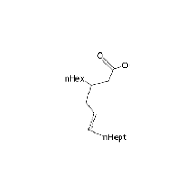 [CH2]CCCCCCC=CCC(CCCCCC)CC([O])=O